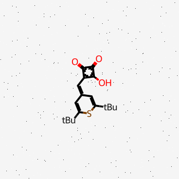 CC(C)(C)C1=CC(=Cc2c(O)c(=O)c2=O)C=C(C(C)(C)C)S1